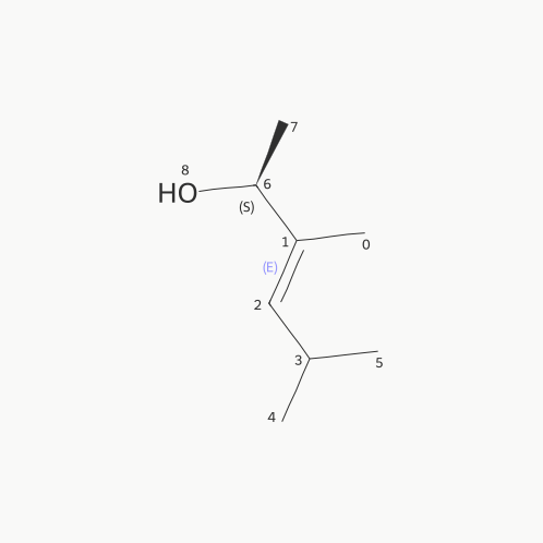 C/C(=C\C(C)C)[C@H](C)O